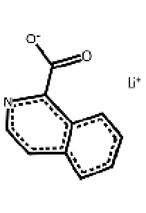 O=C([O-])c1nccc2ccccc12.[Li+]